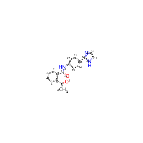 CC(=O)c1ccccc1C(=O)Nc1ccc(-c2ncc[nH]2)cc1